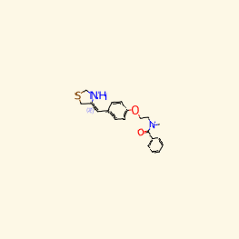 CN(CCOc1ccc(/C=C2/CSCN2)cc1)C(=O)c1ccccc1